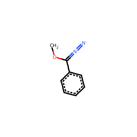 [CH2]OC(=[N+]=[N-])c1ccccc1